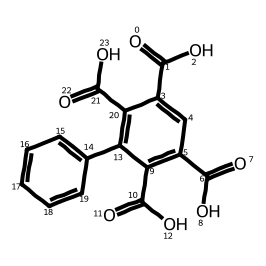 O=C(O)c1cc(C(=O)O)c(C(=O)O)c(-c2ccccc2)c1C(=O)O